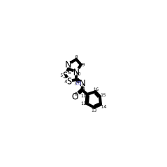 O=C(/N=C1\SSC2=NCCN21)c1ccccc1